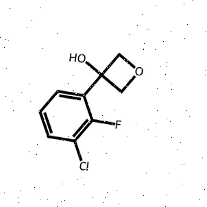 OC1(c2cccc(Cl)c2F)COC1